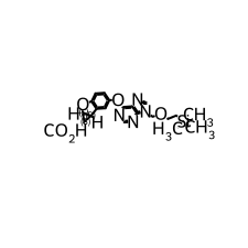 C[Si](C)(C)CCOCn1cnc2c(Oc3ccc4c(c3)[C@@H]3[C@H](O4)[C@H]3C(=O)O)ncnc21